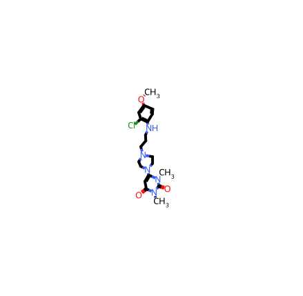 COc1ccc(NCCCN2CCN(c3cc(=O)n(C)c(=O)n3C)CC2)c(Cl)c1